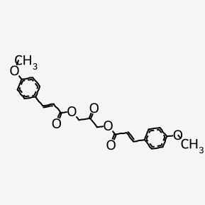 COc1ccc(C=CC(=O)OCC(=O)COC(=O)C=Cc2ccc(OC)cc2)cc1